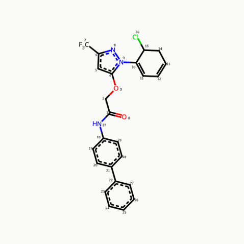 O=C(COc1cc(C(F)(F)F)nn1C1=CC=CCC1Cl)Nc1ccc(-c2ccccc2)cc1